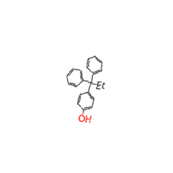 CCC(c1ccccc1)(c1ccccc1)c1ccc(O)cc1